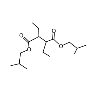 CCC(C(=O)OCC(C)C)C(CC)C(=O)OCC(C)C